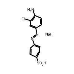 Nc1ccc(/N=N/c2ccc(S(=O)(=O)O)cc2)cc1Cl.[NaH]